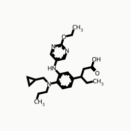 CCCN(CC1CC1)c1ccc(C(CC)CC(=O)O)cc1Nc1cnc(OCC)nc1